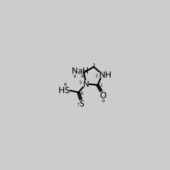 O=C1NCCN1C(=S)S.[NaH]